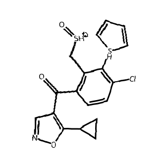 O=C(c1cnoc1C1CC1)c1ccc(Cl)c([SH]2C=CC=C2)c1C[SH](=O)=O